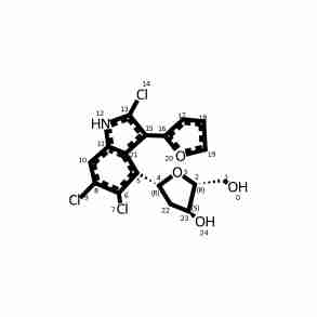 OC[C@H]1O[C@@H](c2c(Cl)c(Cl)cc3[nH]c(Cl)c(-c4ccco4)c23)C[C@@H]1O